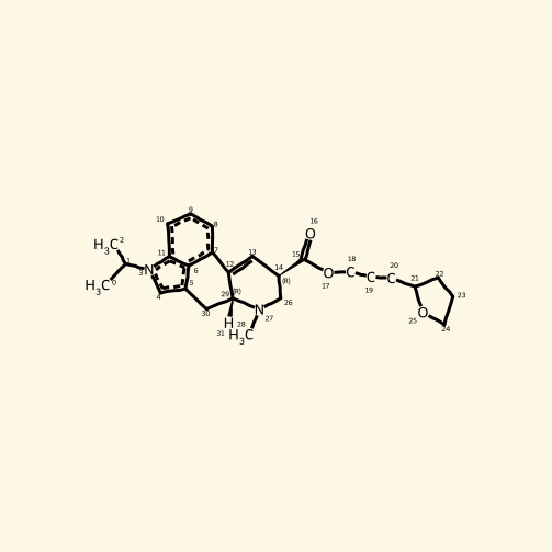 CC(C)n1cc2c3c(cccc31)C1=C[C@@H](C(=O)OCCCC3CCCO3)CN(C)[C@@H]1C2